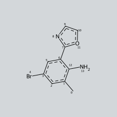 Cc1cc(Br)cc(-c2ncco2)c1N